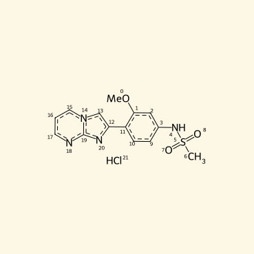 COc1cc(NS(C)(=O)=O)ccc1-c1cn2cccnc2n1.Cl